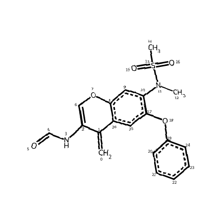 C=C1C(NC=O)=COc2cc(N(C)S(C)(=O)=O)c(Oc3ccccc3)cc21